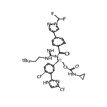 CC(C)(C)CCNC(=N)N(C(=O)c1ccc(-c2cnn(C(F)F)c2)cc1)[C@H](COC(=O)NC1CC1)c1ccc(Cl)c(-c2nc(Cl)c[nH]2)c1